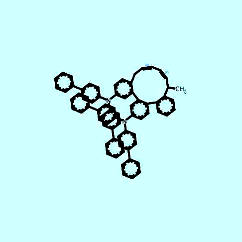 CC1/C=C\C=C/Cc2ccc(N(c3ccc(-c4ccccc4)cc3)c3ccc(-c4ccccc4)cc3)cc2-c2cc(N(c3ccc(-c4ccccc4)cc3)c3ccc(-c4ccccc4)cc3)ccc2-c2ccccc21